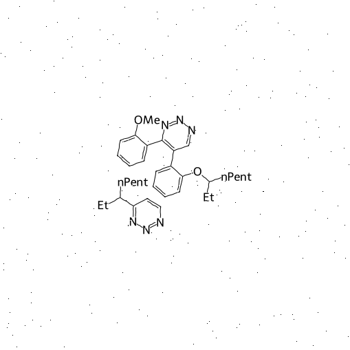 CCCCCC(CC)Oc1ccccc1-c1cnnnc1-c1ccccc1OC.CCCCCC(CC)c1ccnnn1